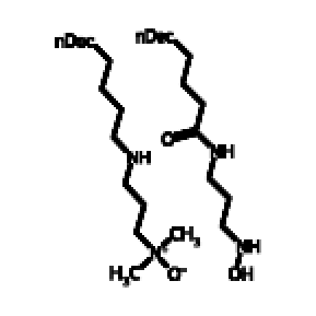 CCCCCCCCCCCCCC(=O)NCCCNO.CCCCCCCCCCCCCCNCCC[N+](C)(C)[O-]